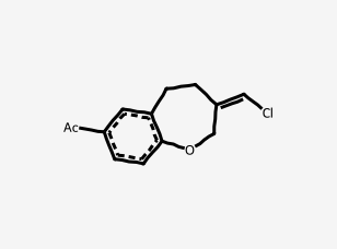 CC(=O)c1ccc2c(c1)CC/C(=C/Cl)CO2